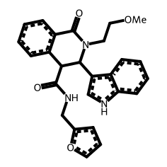 COCCN1C(=O)c2ccccc2C(C(=O)NCc2ccco2)C1c1c[nH]c2ccccc12